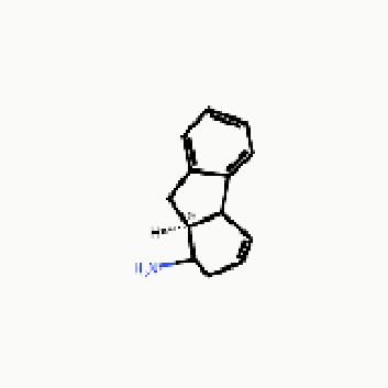 NC1CC=CC2c3ccccc3C[C@H]12